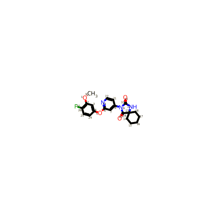 COc1cc(Oc2cc(N3C(=O)NC4(CCCCC4)C3=O)ccn2)ccc1F